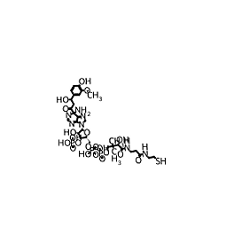 COc1cc(C(O)CC(=O)C2(N)N=CN=C3C2=NCN3[C@@H]2O[C@H](COP(=O)(O)OP(=O)(O)OCC(C)(C)[C@@H](O)C(=O)NCCC(=O)NCCS)[C@@H](OP(=O)(O)O)[C@H]2O)ccc1O